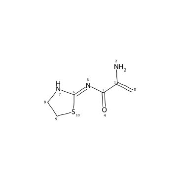 C=C(N)C(=O)N=C1NCCS1